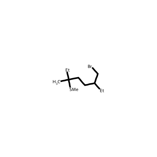 CCC(CBr)CCC(C)(CC)SC